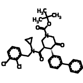 CC(C)(C)OC(=O)N1CC(=O)[C@H](c2cccc(-c3ccccc3)c2)[C@@H](C(=O)N(Cc2cccc(Cl)c2Cl)C2CC2)C1